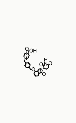 O=C1CCC(N2Cc3c(OCc4ccc(CN5CCN(C(=O)O)CC5)cc4)cccc3C2=O)C(=O)N1